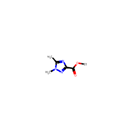 CCOC(=O)c1nc(C)n(C)n1